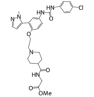 COC(=O)CNC(=O)C1CCN(CCOc2ccc(NC(=O)Nc3ccc(Cl)cc3)cc2-c2ccnn2C)CC1